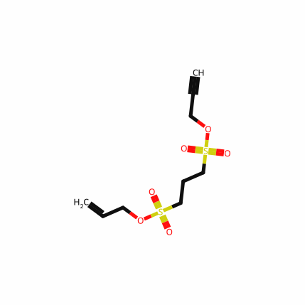 C#CCOS(=O)(=O)CCCS(=O)(=O)OCC=C